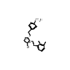 Cc1cccc(CC[C@H]2C(Cl)CC[C@@H]2CCc2ccc(C(=O)O)cc2)c1C